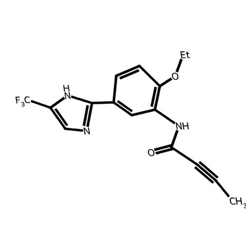 CC#CC(=O)Nc1cc(-c2ncc(C(F)(F)F)[nH]2)ccc1OCC